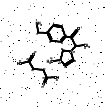 CC(C(=O)c1ccc(CN)cc1)N1C=CN(C)C1.O=C(O)CCC(=O)O